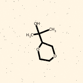 CC(C)(O)C1COCCO1